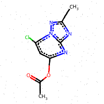 CC(=O)Oc1cc(Cl)n2nc(C)nc2n1